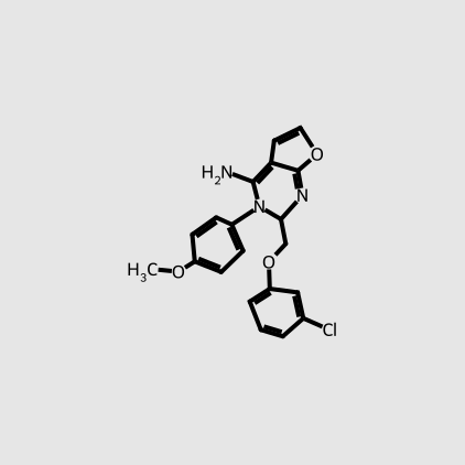 COc1ccc(N2C(N)=c3ccoc3=NC2COc2cccc(Cl)c2)cc1